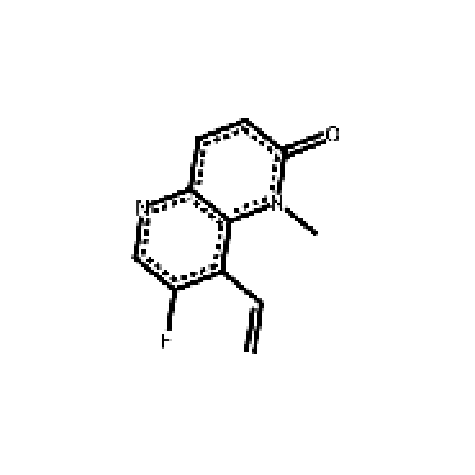 C=Cc1c(F)cnc2ccc(=O)n(C)c12